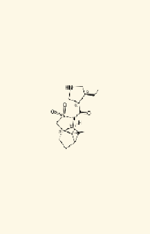 CC[C@@H]1CNC[C@@H]1C(=O)N1[C@H]2CC3CC[C@@]2(CS1(=O)=O)C3(C)C